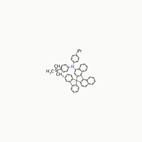 CC(C)c1ccc(N(c2ccc([Si](C)(C)C)cc2)c2cc3c(c4ccccc24)-c2c(ccc4ccccc24)C32c3ccccc3-c3ccccc32)cc1